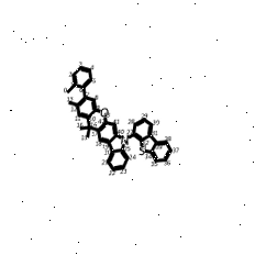 Cc1ccccc1-c1cc2c(cc1C)C(C)(C)c1cc3c4ccccc4n(-c4cccc5c4sc4ccccc45)c3cc1O2